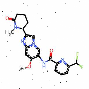 CC(C)Oc1cc2nc(C3CCCC(=O)N3C)cn2cc1NC(=O)c1cccc(C(F)F)n1